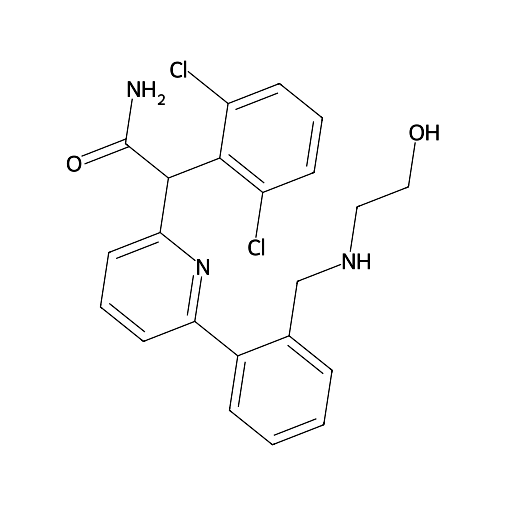 NC(=O)C(c1cccc(-c2ccccc2CNCCO)n1)c1c(Cl)cccc1Cl